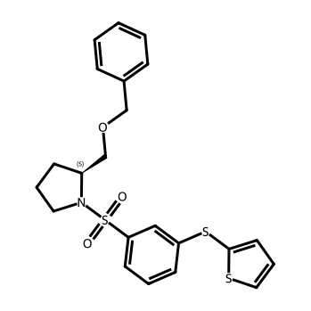 O=S(=O)(c1cccc(Sc2cccs2)c1)N1CCC[C@H]1COCc1ccccc1